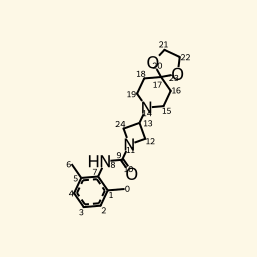 Cc1cccc(C)c1NC(=O)N1CC(N2CCC3(CC2)OCCO3)C1